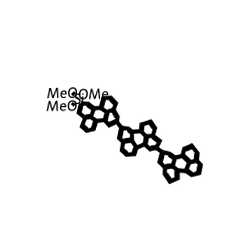 CO[Si](OC)(OC)c1cc2cccc3c4cc(-c5cc6cccc7c8cc(-c9cc%10cccc%11c%12cccc%13cccc(c(c9)c%10%11)c%13%12)cc9cccc(c(c5)c67)c98)cc5cccc(c(c1)c23)c54